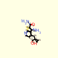 NC(=O)c1sc2nccc(CC3(CO)CC3)c2c1N